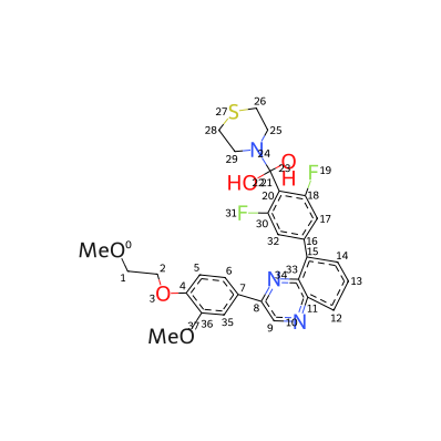 COCCOc1ccc(-c2cnc3cccc(-c4cc(F)c(C(O)(O)N5CCSCC5)c(F)c4)c3n2)cc1OC